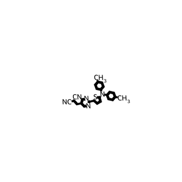 Cc1ccc(N(c2ccc(C)cc2)c2ccc(-c3ncc(C=C(C#N)C#N)cn3)s2)cc1